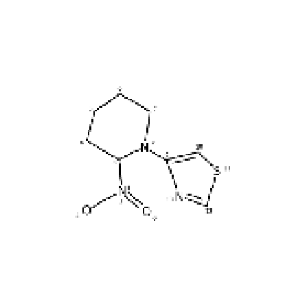 O=[N+]([O-])C1CCCCN1c1cscn1